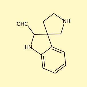 O=CC1Nc2ccccc2C12CCNC2